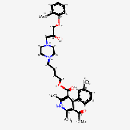 COC(=O)C1=C(C)NC(C)=C(C(=O)OCCCCN2CCN(CC(O)COc3ccccc3OC)CC2)C1c1cccc([N+](=O)[O-])c1